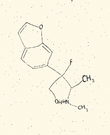 CNC(C)C(F)(CO)c1ccc2ccoc2c1